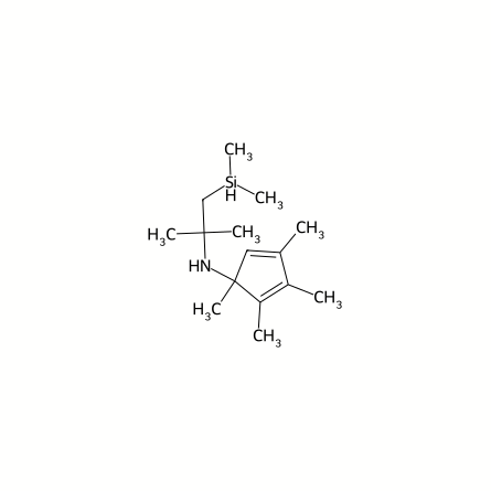 CC1=CC(C)(NC(C)(C)C[SiH](C)C)C(C)=C1C